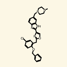 CN1CCN(Cc2ccc3nc(-c4coc(Cc5cc(Cl)ccc5OCc5ccccc5)n4)[nH]c3c2)CC1